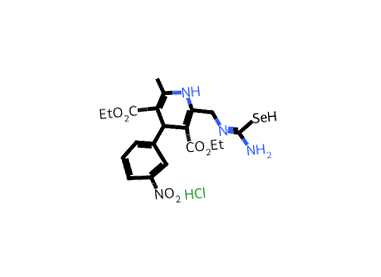 CCOC(=O)C1=C(C)NC(CN=C(N)[SeH])=C(C(=O)OCC)C1c1cccc([N+](=O)[O-])c1.Cl